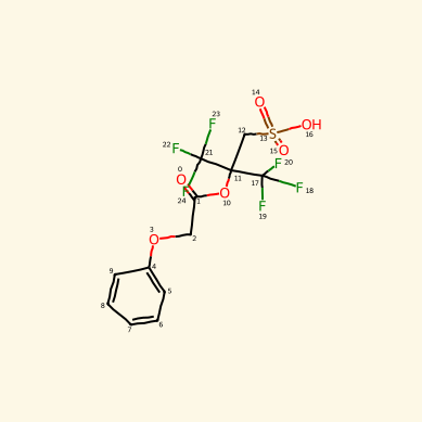 O=C(COc1ccccc1)OC(CS(=O)(=O)O)(C(F)(F)F)C(F)(F)F